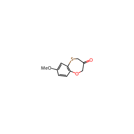 COc1ccc2c(c1)SCC(=O)CO2